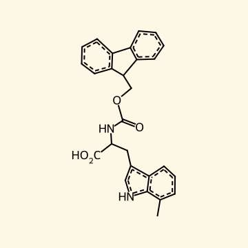 Cc1cccc2c(CC(NC(=O)OCC3c4ccccc4-c4ccccc43)C(=O)O)c[nH]c12